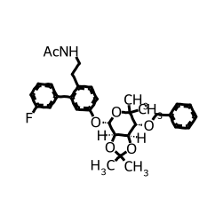 CC(=O)NCCc1ccc(O[C@@H]2OC(C)(C)[C@H](OCc3ccccc3)[C@H]3OC(C)(C)O[C@@H]23)cc1-c1cccc(F)c1